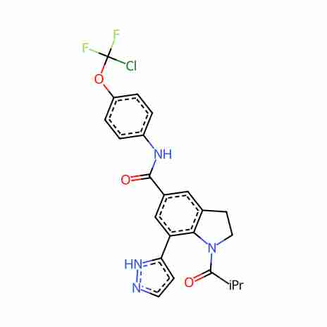 CC(C)C(=O)N1CCc2cc(C(=O)Nc3ccc(OC(F)(F)Cl)cc3)cc(-c3ccn[nH]3)c21